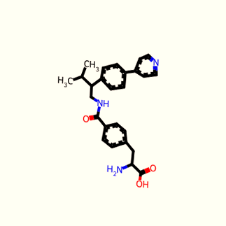 CC(C)C(CNC(=O)c1ccc(CC(N)C(=O)O)cc1)c1ccc(-c2ccncc2)cc1